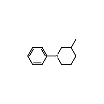 CC1CCCN(c2ccccc2)C1